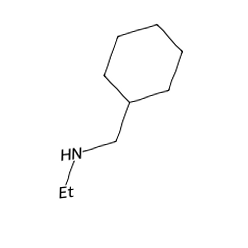 CCNCC1CCCCC1